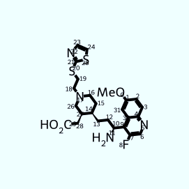 COc1ccc2ncc(F)c([C@@H](N)CC[C@@H]3CCN(CCSc4nccs4)C[C@@H]3CC(=O)O)c2c1